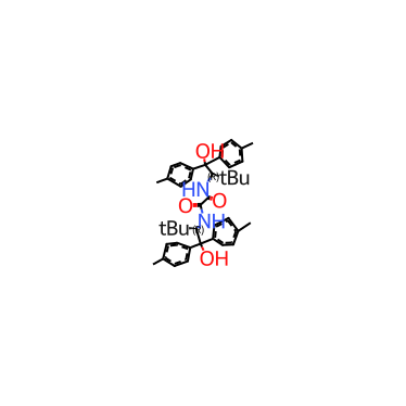 Cc1ccc(C(O)(c2ccc(C)cc2)[C@H](NC(=O)C(=O)N[C@H](C(C)(C)C)C(O)(c2ccc(C)cc2)c2ccc(C)cc2)C(C)(C)C)cc1